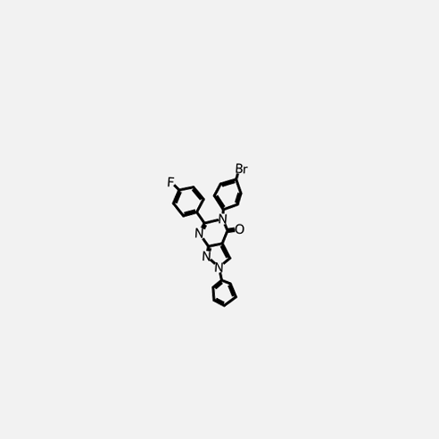 O=c1c2cn(-c3ccccc3)nc2nc(-c2ccc(F)cc2)n1-c1ccc(Br)cc1